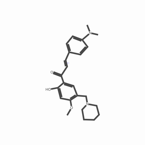 COc1cc(O)c(C(=O)/C=C/c2ccc(N(C)C)cc2)cc1CN1CCCCC1